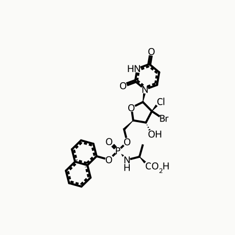 C[C@H](N[P@](=O)(OC[C@H]1O[C@@H](n2ccc(=O)[nH]c2=O)[C@](Cl)(Br)[C@@H]1O)Oc1cccc2ccccc12)C(=O)O